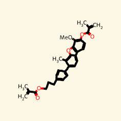 C=C(C)C(=O)OCCCc1ccc(-c2ccc3c(oc4c(OC)c(OC(=O)C(=C)C)ccc43)c2C)cc1